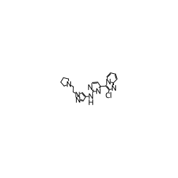 Clc1nc2ccccn2c1-c1ccnc(Nc2cnn(CCN3CCCC3)c2)n1